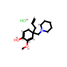 C=CCC1(CN2CCCCC2)C=C(OC)C(O)=CC1.Cl